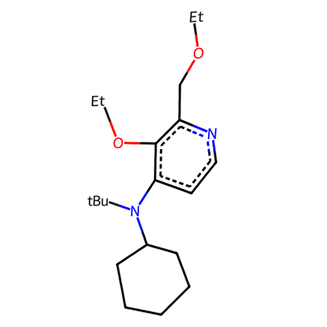 CCOCc1nccc(N(C2CCCCC2)C(C)(C)C)c1OCC